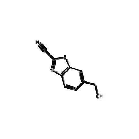 N#Cc1nc2ccc(CO)cc2s1